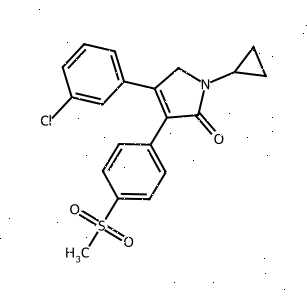 CS(=O)(=O)c1ccc(C2=C(c3cccc(Cl)c3)CN(C3CC3)C2=O)cc1